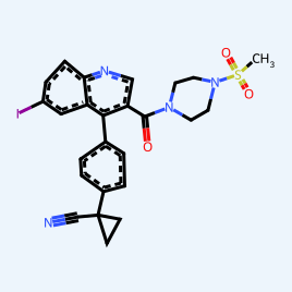 CS(=O)(=O)N1CCN(C(=O)c2cnc3ccc(I)cc3c2-c2ccc(C3(C#N)CC3)cc2)CC1